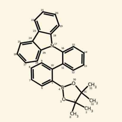 CC1(C)OB(c2ccccc2-c2ccccc2-n2c3ccccc3c3ccccc32)OC1(C)C